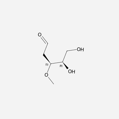 CO[C@@H](CC=O)[C@H](O)CO